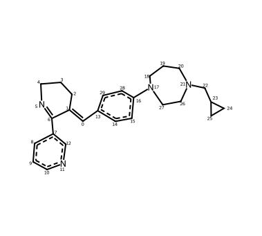 C(=C1/CCCN=C1c1cccnc1)/c1ccc(N2CCCN(CC3CC3)CC2)cc1